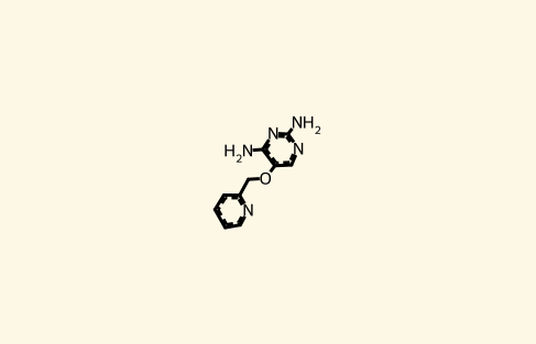 Nc1ncc(OCc2ccccn2)c(N)n1